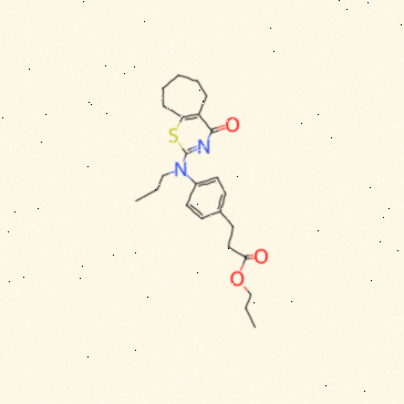 CCCOC(=O)CCc1ccc(N(CCC)c2nc(=O)c3c(s2)CCCCC3)cc1